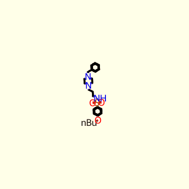 CCCCOc1ccc(S(=O)(=O)NCCCN2CCN(Cc3ccccc3)CC2)cc1